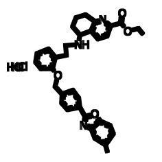 CCOC(=O)c1ccc2c(n1)CCCC2NCCc1ccccc1OCc1ccc(-c2nc3cc(C)ccc3o2)cc1.Cl.Cl